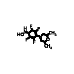 CC1CN(C2=C(F)C(F)C(NO)C(F)=C2F)CC(C)O1